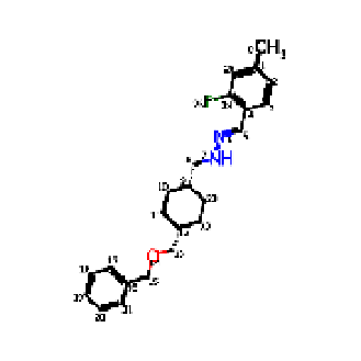 Cc1ccc(C=NNC[C@H]2CC[C@@H](COCc3ccccc3)CC2)c(F)c1